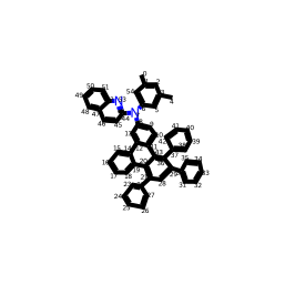 Cc1cc(C)cc(N(c2ccc3c(c2)c2ccccc2c2c(-c4ccccc4)cc(-c4ccccc4)c(-c4ccccc4)c32)c2ccc3ccccc3n2)c1